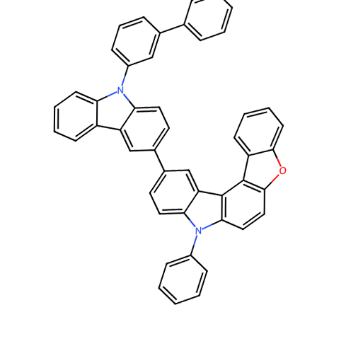 c1ccc(-c2cccc(-n3c4ccccc4c4cc(-c5ccc6c(c5)c5c7c(ccc5n6-c5ccccc5)oc5ccccc57)ccc43)c2)cc1